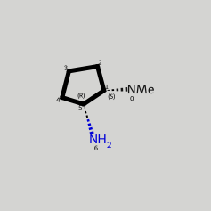 CN[C@H]1CCC[C@H]1N